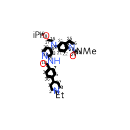 CCN1CCC(c2ccc(C(=O)Nc3cc(N(CCOC(C)C)c4ccc5c(ccn5C(=O)NC)c4)ccn3)cc2)CC1